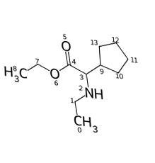 CCNC(C(=O)OCC)C1CCCC1